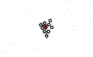 c1ccc(-c2cc(-c3ccccc3)cc(N(c3ccc(-c4cccc5c4c4ccccc4n5-c4ccccc4)cc3)c3cccc4c3C3(c5ccccc5-c5ccccc53)c3ccccc3-4)c2)cc1